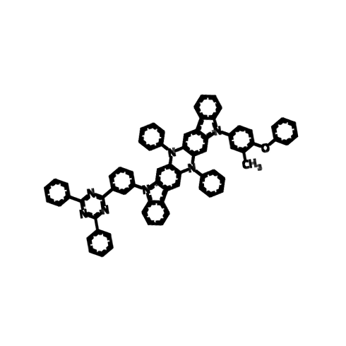 Cc1cc(-n2c3ccccc3c3cc4c(cc32)N(c2ccccc2)c2cc3c5ccccc5n(-c5cccc(-c6nc(-c7ccccc7)nc(-c7ccccc7)n6)c5)c3cc2N4c2ccccc2)ccc1Oc1ccccc1